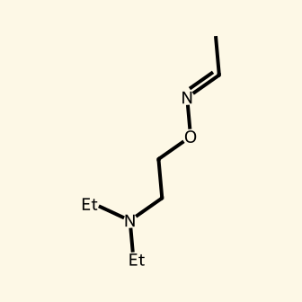 C/C=N/OCCN(CC)CC